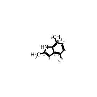 Cc1cc2c(F)ccc(C)c2[nH]1